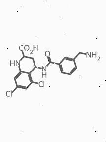 NCc1cccc(C(=O)NC2CC(C(=O)O)Nc3cc(Cl)cc(Cl)c32)c1